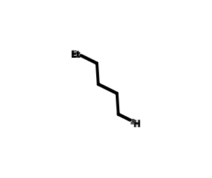 [2H]CCCCCC